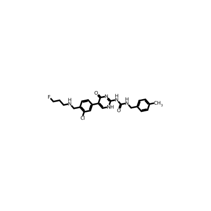 Cc1ccc(CNC(=O)Nc2nc(=O)c(-c3ccc(CNCCCF)c(Cl)c3)c[nH]2)cc1